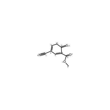 COC(=O)C1=CC(C#N)=CCC1=S